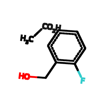 CC(=O)O.OCc1ccccc1F